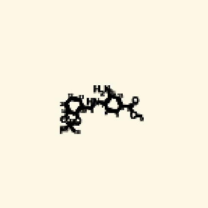 COC(=O)c1ccc(NCc2cccc3c2OC(C)(F)O3)c(N)c1